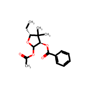 CC[C@H]1OC(OC(C)=O)[C@H](OC(=O)c2ccccc2)C1(C)C